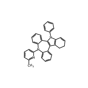 Cc1cccc(N2c3ccccc3-c3c4c(n(-c5ccccc5)c3-c3ccccc32)C=CCC4)n1